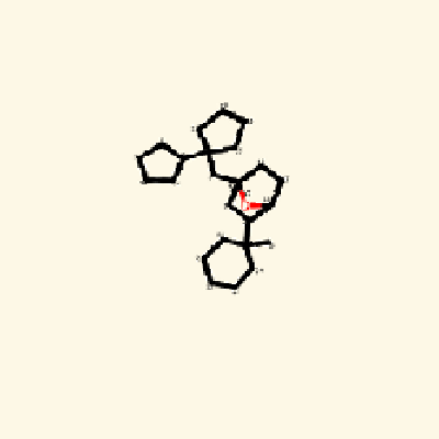 CC1(C2CC3(CC4(C5CCCC5)CCCC4)CCC2O3)CCCCC1